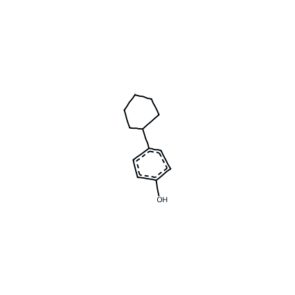 Oc1ccc(C2CC[CH]CC2)cc1